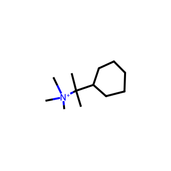 CC(C)(C1CCCCC1)[N+](C)(C)C